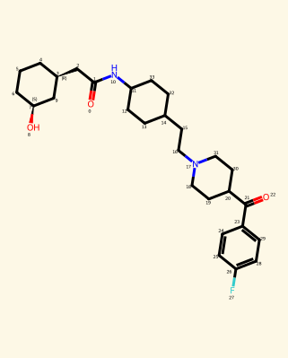 O=C(C[C@@H]1CCC[C@H](O)C1)NC1CCC(CCN2CCC(C(=O)c3ccc(F)cc3)CC2)CC1